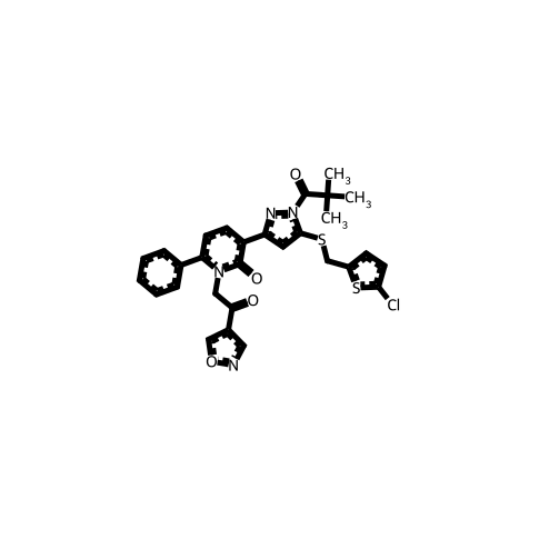 CC(C)(C)C(=O)n1nc(-c2ccc(-c3ccccc3)n(CC(=O)c3cnoc3)c2=O)cc1SCc1ccc(Cl)s1